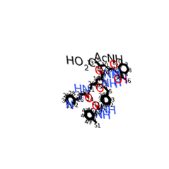 CC(=O)NC1CCCC(NC(=O)[C@H](CCCC(=O)O)NC(=O)[C@H](CCCCNC(=O)/C=C/c2cccnc2)NC(=O)Cc2ccc(NC(=O)Nc3ccccc3C)cc2)(C(=O)I)C1